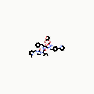 CCC(C)C(C(=O)NC(Cc1ccccc1)C(O)CN(Cc1ccc(-c2ccccn2)cc1)NC(=O)OC1CCOC1=O)N1CCN(Cc2cccc(C)n2)C1=O